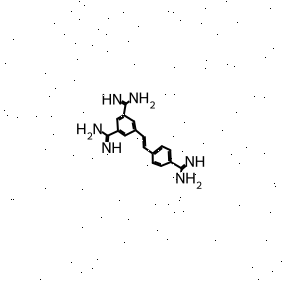 N=C(N)c1ccc(C=Cc2cc(C(=N)N)cc(C(=N)N)c2)cc1